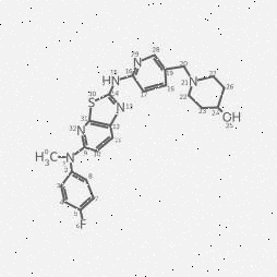 CN(c1ccc(F)cc1)c1ccc2nc(Nc3ccc(CN4CCC(O)CC4)cn3)sc2n1